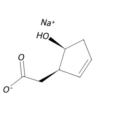 O=C([O-])C[C@@H]1C=CC[C@@H]1O.[Na+]